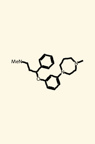 CNCCC(Oc1cccc(N2CCCN(C)CC2)c1)c1ccccc1